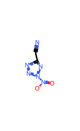 N#Cc1nnn([N+](=O)[O-])n1